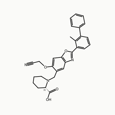 Cc1c(-c2ccccc2)cccc1-c1nc2cc(CN3CCCC[C@H]3C(=O)O)c(OCC#N)cc2o1